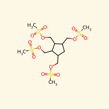 CS(=O)(=O)OCC1CC(COS(C)(=O)=O)C(COS(C)(=O)=O)C1COS(C)(=O)=O